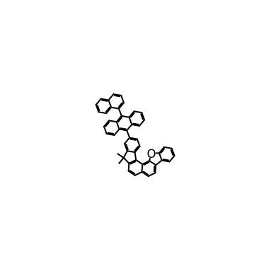 CC1(C)c2cc(-c3c4ccccc4c(-c4cccc5ccccc45)c4ccccc34)ccc2-c2c1ccc1ccc3c4ccccc4oc3c21